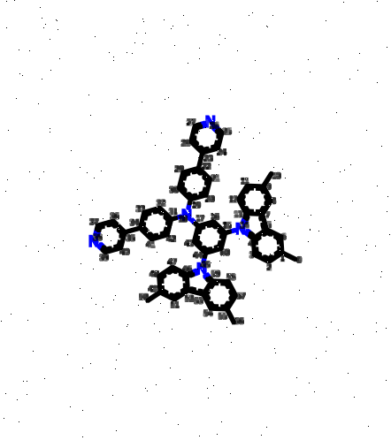 Cc1ccc2c(c1)c1cc(C)ccc1n2-c1cc(N(c2ccc(-c3ccncc3)cc2)c2ccc(-c3ccncc3)cc2)cc(-n2c3ccc(C)cc3c3cc(C)ccc32)c1